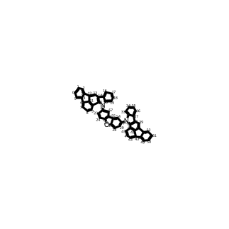 c1ccc2c(c1)-c1cccc3c1c-2cc1c2ccccc2n(-c2ccc4oc5ccc(-n6c7ccccc7c7cc8c9c(cccc9c76)-c6ccccc6-8)cc5c4c2)c31